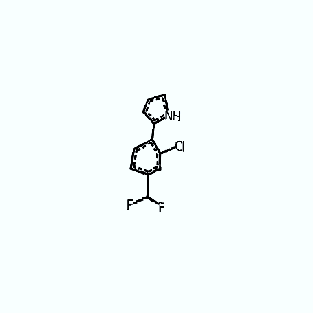 FC(F)c1ccc(-c2ccc[nH]2)c(Cl)c1